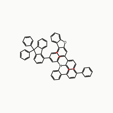 c1ccc(-c2ccc(-c3ccccc3N(c3cccc(-c4cccc5c4-c4ccccc4C5(c4ccccc4)c4ccccc4)c3)c3ccccc3-c3ccc4c(c3)oc3ccccc34)cc2)cc1